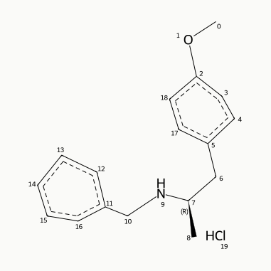 COc1ccc(C[C@@H](C)NCc2ccccc2)cc1.Cl